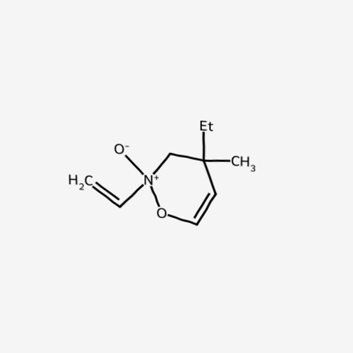 C=C[N+]1([O-])CC(C)(CC)C=CO1